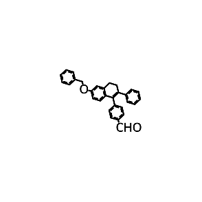 O=Cc1ccc(C2=C(c3ccccc3)CCc3cc(OCc4ccccc4)ccc32)cc1